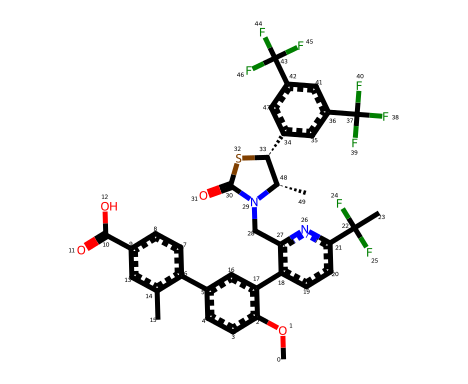 COc1ccc(-c2ccc(C(=O)O)cc2C)cc1-c1ccc(C(C)(F)F)nc1CN1C(=O)S[C@H](c2cc(C(F)(F)F)cc(C(F)(F)F)c2)[C@@H]1C